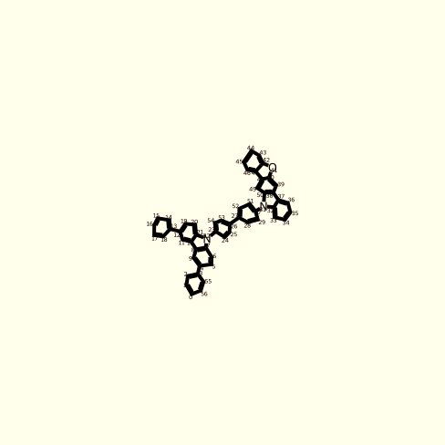 c1ccc(-c2ccc3c(c2)c2cc(-c4ccccc4)ccc2n3-c2ccc(-c3ccc(-n4c5ccccc5c5cc6oc7ccccc7c6cc54)cc3)cc2)cc1